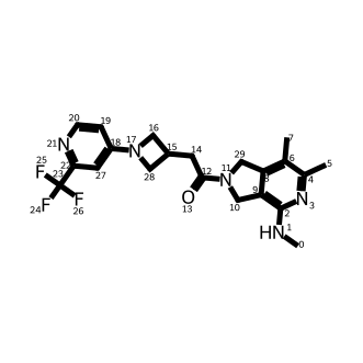 CNc1nc(C)c(C)c2c1CN(C(=O)CC1CN(c3ccnc(C(F)(F)F)c3)C1)C2